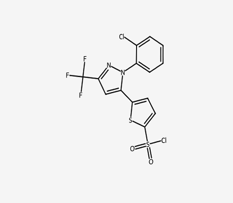 O=S(=O)(Cl)c1ccc(-c2cc(C(F)(F)F)nn2-c2ccccc2Cl)s1